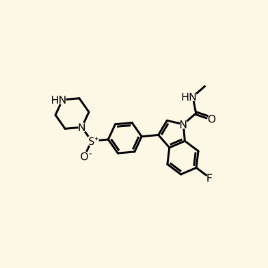 CNC(=O)n1cc(-c2ccc([S+]([O-])N3CCNCC3)cc2)c2ccc(F)cc21